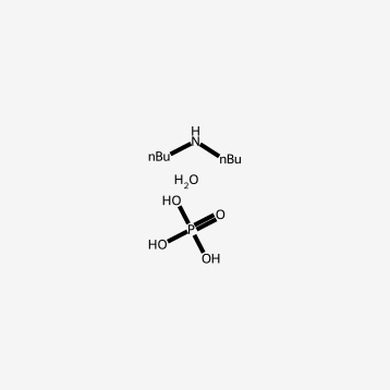 CCCCNCCCC.O.O=P(O)(O)O